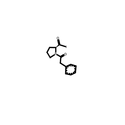 O=C(I)[C@@H]1CCCN1C(=O)Cc1ccccc1